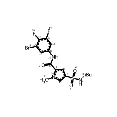 CC[C@@H](C)NS(=O)(=O)c1cc(C(=O)Nc2cc(F)c(F)c(Br)c2)n(C)c1